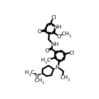 CCN(c1cc(Cl)cc(C(=O)NCc2c(OC)[nH]c(Cl)cc2=O)c1C)[C@H]1CC[C@H](N(C)C)CC1